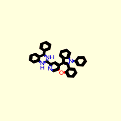 c1ccc(C2NC(c3cc4c(cn3)Oc3ccccc3-c3c-4c4ccccc4n3-c3ccccc3)Nc3ccccc32)cc1